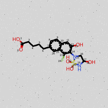 O=C(O)CCCCc1ccc2cc(O)c(N3CC(O)NS3(O)O)c(F)c2c1